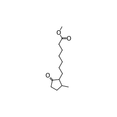 COC(=O)CCCCCCC1C(=O)CCC1C